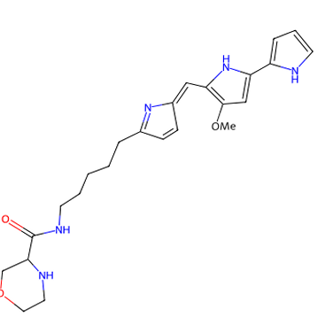 COc1cc(-c2ccc[nH]2)[nH]c1C=C1C=CC(CCCCCNC(=O)C2COCCN2)=N1